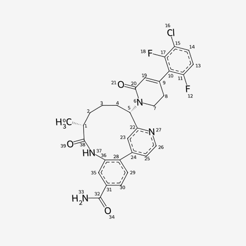 C[C@@H]1CCC[C@H](N2CCC(c3c(F)ccc(Cl)c3F)=CC2=O)c2cc(ccn2)-c2ccc(C(N)=O)cc2NC1=O